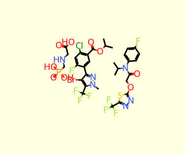 CC(C)N(C(=O)COc1nnc(C(F)(F)F)s1)c1ccc(F)cc1.CC(C)OC(=O)c1cc(-c2nn(C)c(C(F)(F)F)c2Br)c(F)cc1Cl.O=C(O)CNCP(=O)(O)O